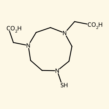 O=C(O)CN1CCN(S)CCN(CC(=O)O)CC1